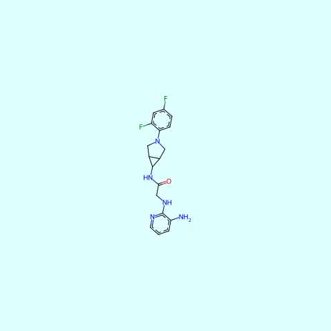 Nc1cccnc1NCC(=O)NC1C2CN(c3ccc(F)cc3F)CC21